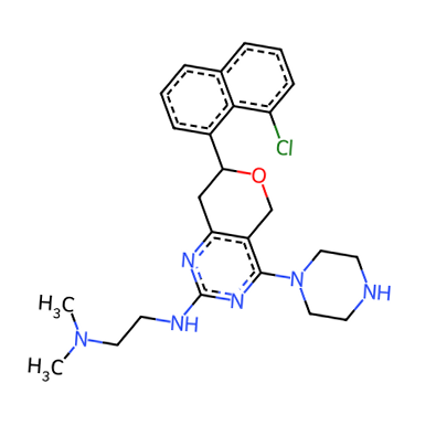 CN(C)CCNc1nc2c(c(N3CCNCC3)n1)COC(c1cccc3cccc(Cl)c13)C2